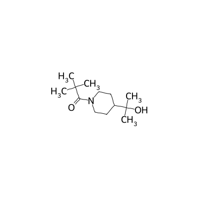 CC(C)(C)C(=O)N1CCC(C(C)(C)O)CC1